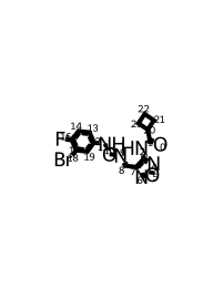 O=C(Nc1nonc1/C=N/ONc1ccc(F)c(Br)c1)C1CCC1